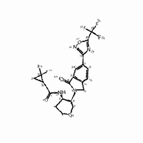 O=C(N[C@@H]1CCOC[C@@H]1N1Cc2ccc(-c3noc(C(F)(F)F)n3)cc2C1=O)C1CC1(F)F